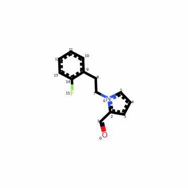 O=Cc1cccn1CCc1ccccc1F